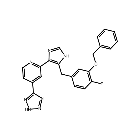 Fc1ccc(Cc2[nH]cnc2-c2cc(-c3nn[nH]n3)ccn2)cc1OCc1ccccc1